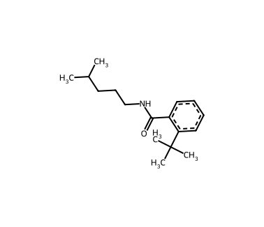 CC(C)CCCNC(=O)c1ccccc1C(C)(C)C